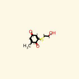 CC1=CC(=O)C=C(SCCO)C1=O